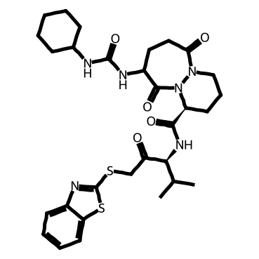 CC(C)[C@H](NC(=O)[C@@H]1CCCN2C(=O)CCC(NC(=O)NC3CCCCC3)C(=O)N12)C(=O)CSc1nc2ccccc2s1